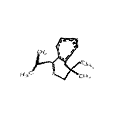 CC(C)C1=NCC(C)(C)c2ccccc21